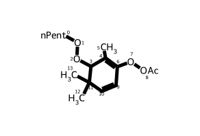 CCCCCOOC1C(C)=C(OOC(C)=O)C=CC1(C)C